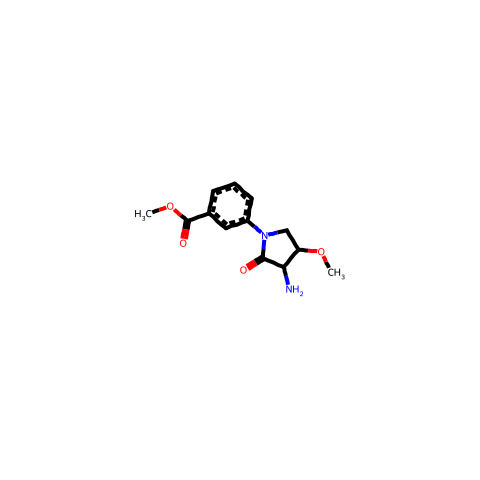 COC(=O)c1cccc(N2CC(OC)C(N)C2=O)c1